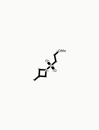 COCCS(=O)(=O)N1CC(C)C1